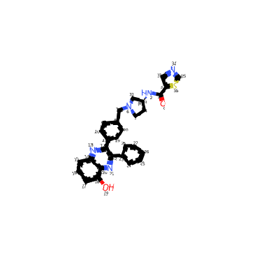 O=C(N[C@@H]1CCN(Cc2ccc(-c3nc4cccc(O)c4nc3-c3ccccc3)cc2)C1)c1cncs1